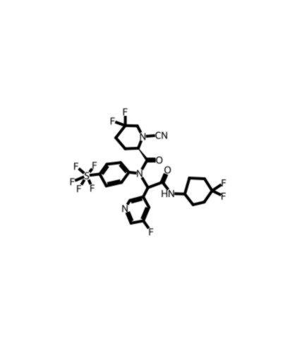 N#CN1CC(F)(F)CC[C@@H]1C(=O)N(c1ccc(S(F)(F)(F)(F)F)cc1)C(C(=O)NC1CCC(F)(F)CC1)c1cncc(F)c1